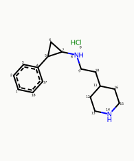 Cl.c1ccc(C2CC2NCCC2CCNCC2)cc1